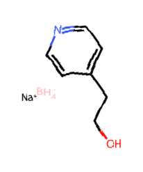 OCCc1ccncc1.[BH4-].[Na+]